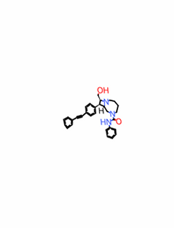 O=C(Nc1ccccc1)N1CCCCN2[C@H](CO)[C@H](c3ccc(C#Cc4ccccc4)cc3)[C@@H]2C1